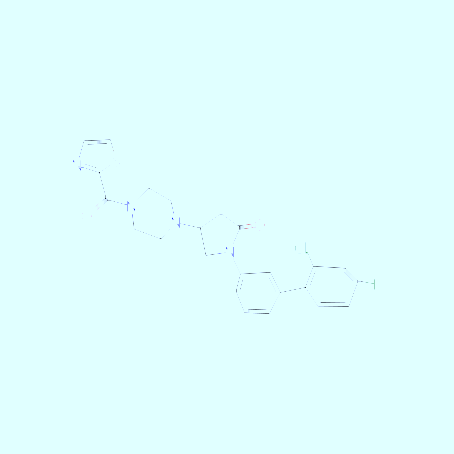 O=C(c1nccs1)N1CCN(C2CC(=O)N(c3cccc(-c4ccc(F)cc4Cl)c3)C2)CC1